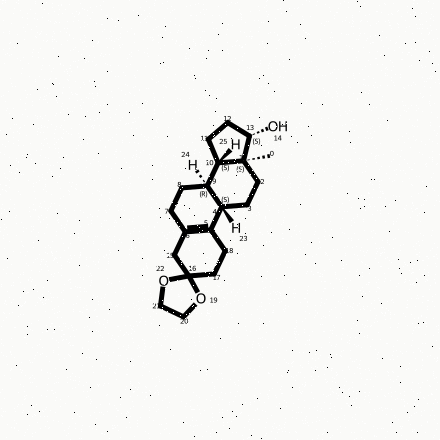 C[C@]12CC[C@@H]3C4=C(CC[C@H]3[C@@H]1CC[C@@H]2O)CC1(CC4)OCCO1